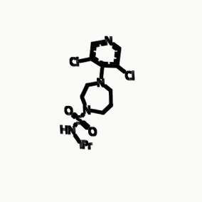 CC(C)NS(=O)(=O)N1CCCN(c2c(Cl)cncc2Cl)CC1